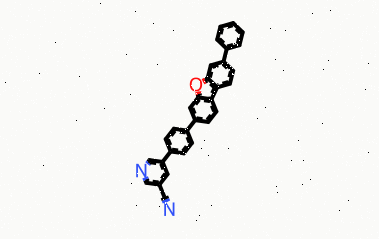 N#Cc1cncc(-c2ccc(-c3ccc4c(c3)oc3cc(-c5ccccc5)ccc34)cc2)c1